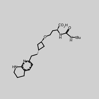 CC(C)(C)NC(=O)N[C@@H](CCO[C@H]1C[C@H](CCc2ccc3c(n2)NCCC3)C1)C(=O)O